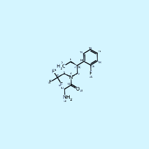 CC[C@H](CN(CC(F)(F)F)C(=O)CN)c1ccccc1F